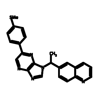 CSc1ccc(-c2cnc3ncn(C(C)c4ccc5ncccc5c4)c3n2)cc1